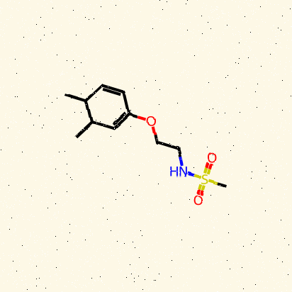 CC1C=CC(OCCNS(C)(=O)=O)=CC1C